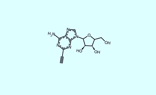 C#Cc1nc(N)c2ncn(C3OC(CO)[C@@H](O)[C@H]3O)c2n1